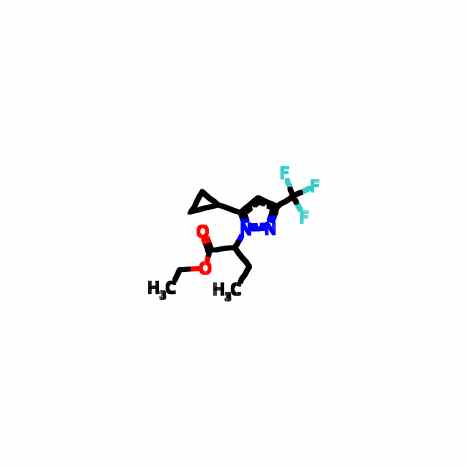 CCOC(=O)C(CC)n1nc(C(F)(F)F)cc1C1CC1